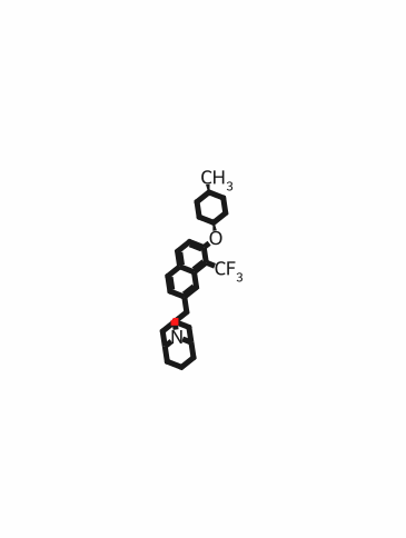 C[C@H]1CC[C@@H](Oc2ccc3ccc(CCN4C5CCCC4CCC5)cc3c2C(F)(F)F)CC1